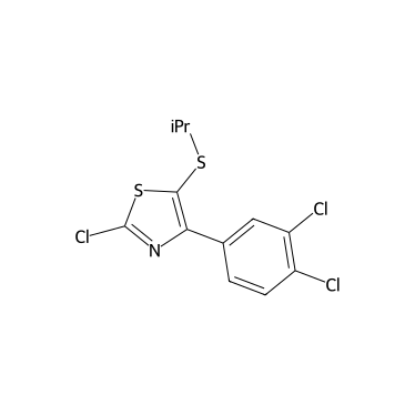 CC(C)Sc1sc(Cl)nc1-c1ccc(Cl)c(Cl)c1